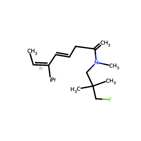 C=C(CC=C/C(=C\C)C(C)C)N(C)CC(C)(C)CF